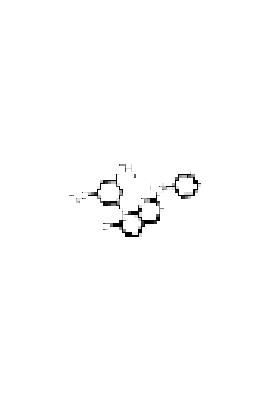 CC1CC(C)CC(n2c(=O)ccc3cnc(Nc4ccccc4)nc32)C1